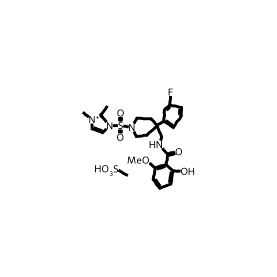 COc1cccc(O)c1C(=O)NCC1(c2cccc(F)c2)CCN(S(=O)(=O)n2cc[n+](C)c2C)CC1.CS(=O)(=O)O